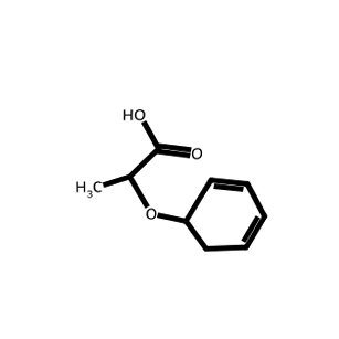 CC(OC1C=CC=CC1)C(=O)O